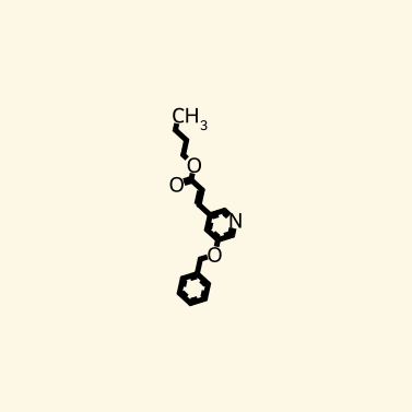 CCCCOC(=O)C=Cc1cncc(OCc2ccccc2)c1